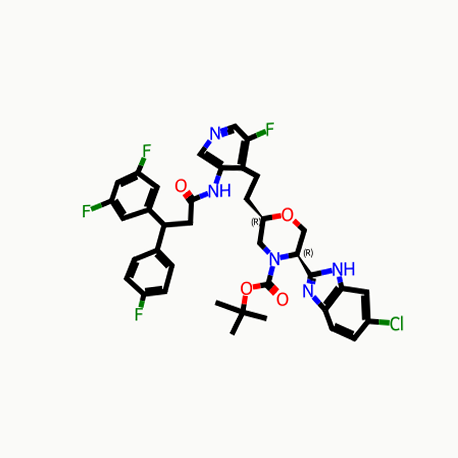 CC(C)(C)OC(=O)N1C[C@@H](CCc2c(F)cncc2NC(=O)CC(c2ccc(F)cc2)c2cc(F)cc(F)c2)OC[C@H]1c1nc2ccc(Cl)cc2[nH]1